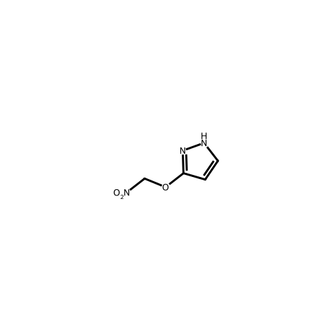 O=[N+]([O-])COc1cc[nH]n1